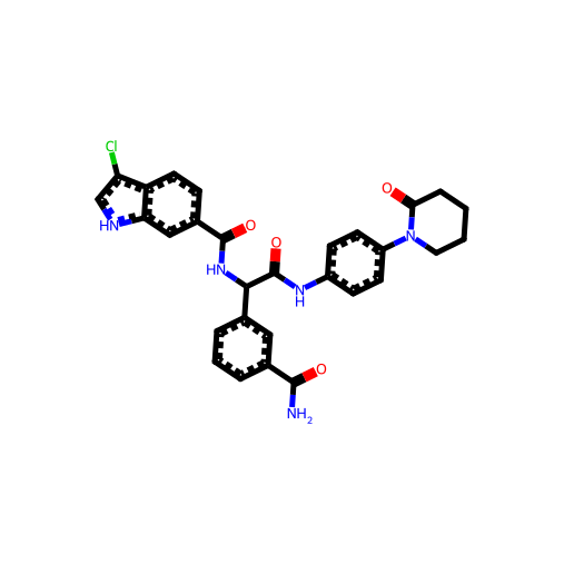 NC(=O)c1cccc(C(NC(=O)c2ccc3c(Cl)c[nH]c3c2)C(=O)Nc2ccc(N3CCCCC3=O)cc2)c1